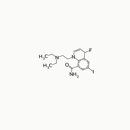 CCN(CC)CCN1C=CC(F)c2cc(I)cc(C(N)=O)c21